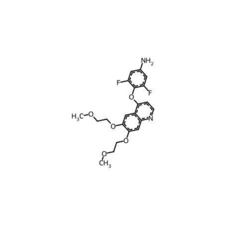 COCCOc1cc2nccc(Oc3c(F)cc(N)cc3F)c2cc1OCCOC